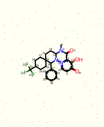 CN1C(=O)c2c(O)c(=O)ccn2N2C1CCC1(CCC(C(F)(F)F)CC1)C2c1ccccc1